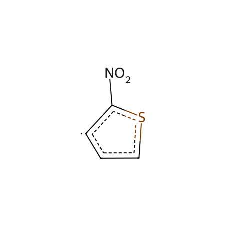 O=[N+]([O-])c1[c]ccs1